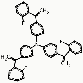 C=C(c1ccc(N(c2ccc(C(=C)c3ccccc3F)cc2)c2ccc(C(=C)c3ccccc3F)cc2)cc1)c1ccccc1F